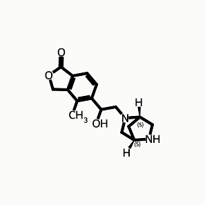 Cc1c(C(O)CN2C[C@@H]3C[C@H]2CN3)ccc2c1COC2=O